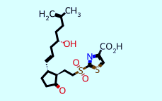 C=C(C)CC[C@H](O)C/C=C/[C@H]1CCC(=O)[C@@H]1CCS(=O)(=O)c1nc(C(=O)O)cs1